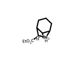 CCOC(=O)[C@@H]1NC2CCCC1[C@@H]2C